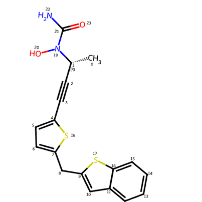 C[C@H](C#Cc1ccc(Cc2cc3ccccc3s2)s1)N(O)C(N)=O